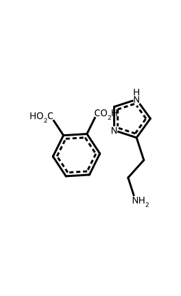 NCCc1c[nH]cn1.O=C(O)c1ccccc1C(=O)O